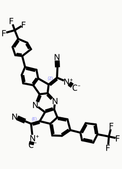 [C-]#[N+]/C(C#N)=C1/c2cc(-c3ccc(C(F)(F)F)cc3)ccc2-c2nc3c(nc21)-c1cc(-c2ccc(C(F)(F)F)cc2)ccc1/C3=C(/C#N)[N+]#[C-]